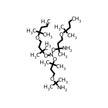 CCCC(C)(C)OCCC(C)(C)ON(OC(C)(C)CCOC(C)(C)N)OC(C)(N)CCOC(C)(C)CCC